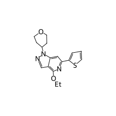 CCOc1nc(-c2cccs2)cc2c1cnn2C1CCOCC1